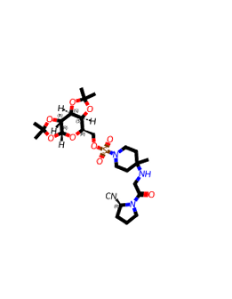 [C-]#[N+][C@@H]1CCCN1C(=O)CNC1(C)CCN(S(=O)(=O)OC[C@H]2O[C@@H]3OC(C)(C)O[C@@H]3[C@H]3OC(C)(C)O[C@H]32)CC1